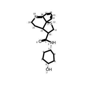 O=C(N[C@H]1CC[C@@H](O)CC1)C1CSC23C=CC=CC2=NCCC13